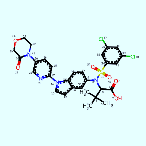 CC(C)(C)C(C(=O)O)N(c1ccc2c(ccn2-c2ccc(N3CCOCC3=O)cn2)c1)S(=O)(=O)c1cc(Cl)cc(Cl)c1